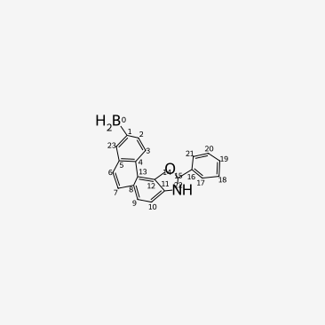 Bc1ccc2c(ccc3ccc4c(c32)OC(c2ccccc2)N4)c1